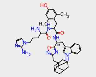 Cc1cc(O)cc(C)c1CC(NC(=O)C(N)CCCn1ccnc1N)C(=O)N[C@@H](Cc1c[nH]c2ccccc12)c1nc(CC23CC4CC(CC(C4)C2)C3)no1